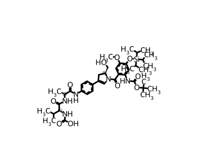 COc1cc(C(=O)N2C=C(c3ccc(NC(=O)[C@H](C)NC(=O)[C@@H](NC(=O)O)C(C)C)cc3)C[C@H]2CO)c(NC(=O)OC(C)(C)C)cc1O[Si](C(C)C)(C(C)C)C(C)C